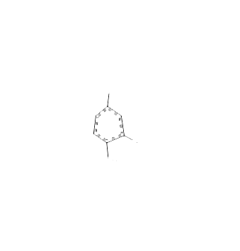 COc1ccc([C]=O)cc1[N+](=O)[O-]